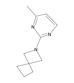 Cc1ccnc(N2CC3(CCC3)C2)n1